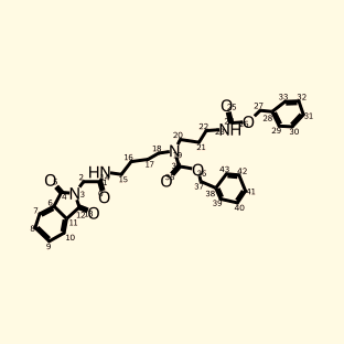 O=C(CN1C(=O)c2ccccc2C1=O)NCCCCN(CCCNC(=O)OCc1ccccc1)C(=O)OCc1ccccc1